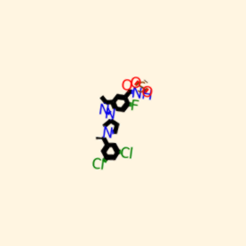 Cc1nn(C2CCN([C@H](C)c3cc(Cl)cc(Cl)c3)C2)c2cc(F)c(C(=O)NS(C)(=O)=O)cc12